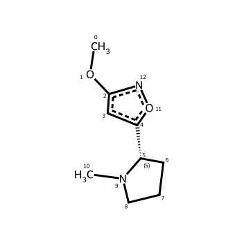 COc1cc([C@@H]2CCCN2C)on1